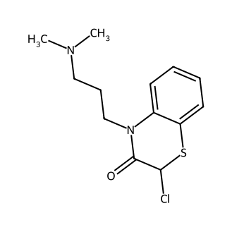 CN(C)CCCN1C(=O)C(Cl)Sc2ccccc21